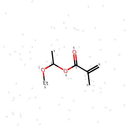 [CH2]COC(C)OC(=O)C(=C)C